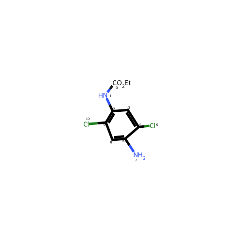 CCOC(=O)Nc1cc(Cl)c(N)cc1Cl